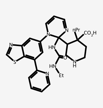 CCCC1(C(=O)O)CCNCC1C1(NC(=O)NCC)N=CC=CN1c1cc(-c2ccccn2)c2scnc2c1